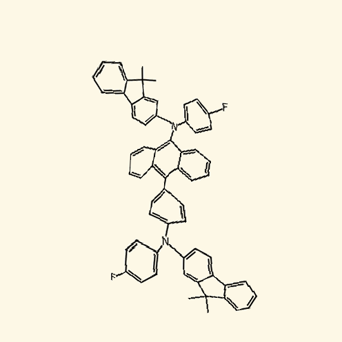 CC1(C)c2ccccc2-c2ccc(N(c3ccc(F)cc3)c3ccc(-c4c5ccccc5c(N(c5ccc(F)cc5)c5ccc6c(c5)C(C)(C)c5ccccc5-6)c5ccccc45)cc3)cc21